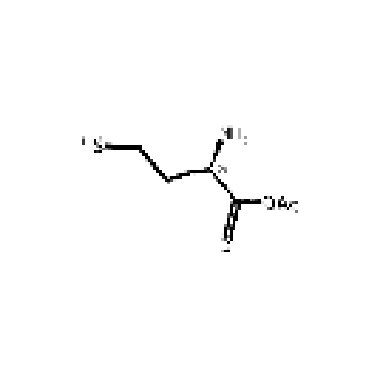 CC(=O)OC(=O)[C@H](N)CCS